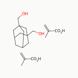 C=C(C)C(=O)O.C=C(C)C(=O)O.OCC12CC3CC(C1)CC(CO)(C3)C2